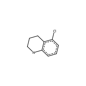 Clc1cccc2c1CCC[N]2